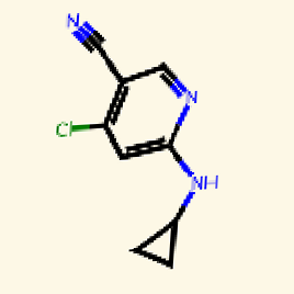 N#Cc1cnc(NC2CC2)cc1Cl